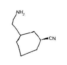 N#C[C@H]1CCCC(CN)C1